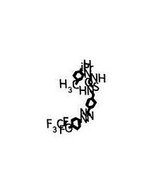 Cc1ccc(C(C)C)c(NC(=N)OC(=S)NCc2ccc(-c3ncn(-c4ccc(OC(F)(F)C(F)(F)F)cc4)n3)cc2)c1